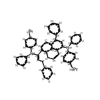 CC(C)c1ccc(N(/C(=C/Cc2ccccc2)c2ccc3c(-c4ccccc4)cc(N(c4ccccc4)c4ccc(C(C)C)cc4)c4c3c2CC=C4)c2ccccc2)cc1